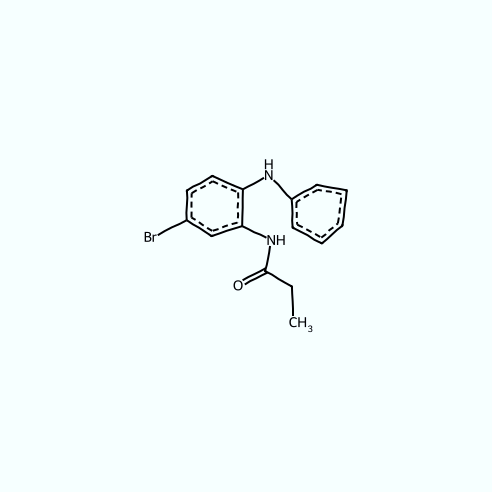 CCC(=O)Nc1cc(Br)ccc1Nc1ccccc1